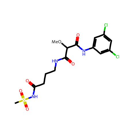 COC(C(=O)NCCCC(=O)NS(C)(=O)=O)C(=O)Nc1cc(Cl)cc(Cl)c1